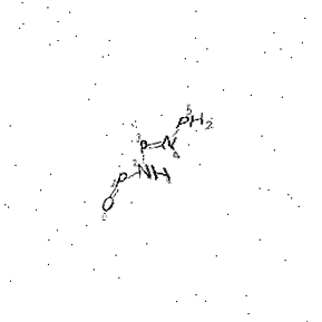 O=PNP=NP